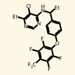 CCc1ncnc(NC(CC)c2ccc(Oc3c(F)c(F)c(C(F)(F)F)c(F)c3F)cc2)c1Cl